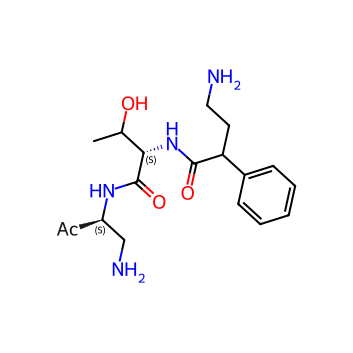 CC(=O)[C@H](CN)NC(=O)[C@@H](NC(=O)C(CCN)c1ccccc1)C(C)O